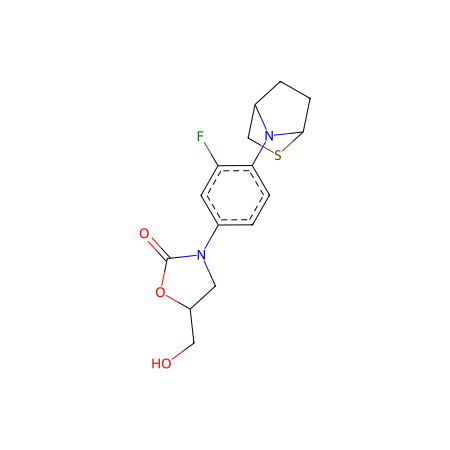 O=C1OC(CO)CN1c1ccc(N2C3CCC2SC3)c(F)c1